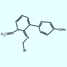 C=Nn1cccc(-c2ccc(OC)cc2)/c1=N/CBr